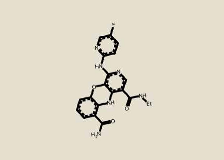 CCNC(=O)c1cnc(Nc2ccc(F)cn2)c2c1Nc1c(cccc1C(N)=O)O2